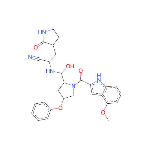 COc1cccc2[nH]c(C(=O)N3CC(Oc4ccccc4)CC3C(O)NC(C#N)CC3CCNC3=O)cc12